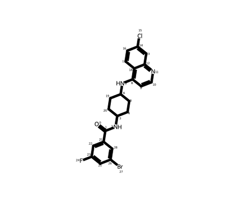 O=C(NC1CCC(Nc2ccnc3cc(Cl)ccc23)CC1)c1cc(F)cc(Br)c1